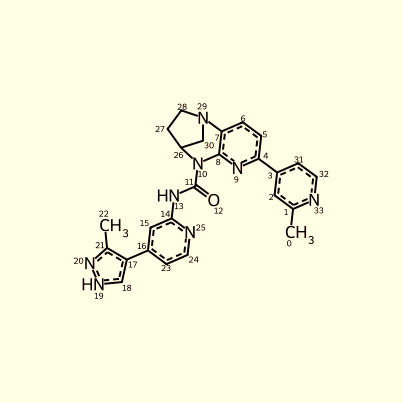 Cc1cc(-c2ccc3c(n2)N(C(=O)Nc2cc(-c4c[nH]nc4C)ccn2)C2CCN3C2)ccn1